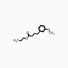 CCCOC(=O)CCCc1cccc(OC)c1